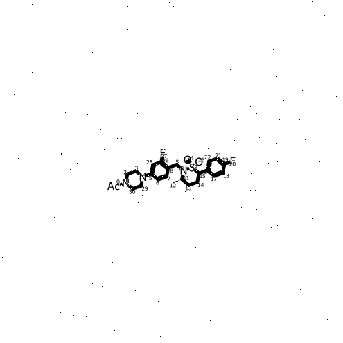 CC(=O)N1CCN(c2ccc(CN3[C@@H](C)CCC(c4ccc(F)cc4)S3(=O)=O)c(F)c2)CC1